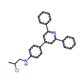 CC(Cl)CNc1ccc(-c2cc(-c3ccccc3)nc(-c3ccccc3)c2)cc1